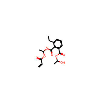 C=CC(=O)OC(C)OC(=O)c1c(CC)cccc1C(=O)OC(C)O